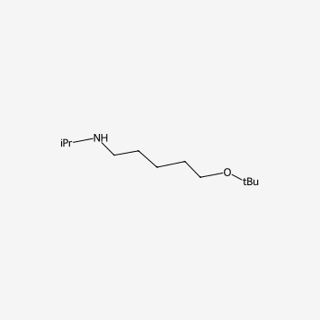 CC(C)NCCCCCOC(C)(C)C